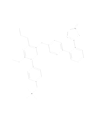 CCCC1=C(Cc2ccc(-c3ccccc3-c3noc(=O)[nH]3)cc2)CN(c2ccc(OC(C)(C)C)cc2)C(CC)=N1